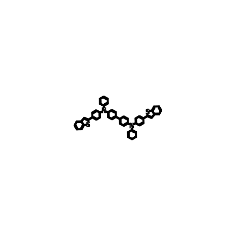 C1=CC(N(c2ccc(-c3ccc(N(c4ccccc4)c4ccc(-c5cc6ccccc6s5)cc4)cc3)cc2)c2ccc(-c3cc4ccccc4s3)cc2)=CCC1